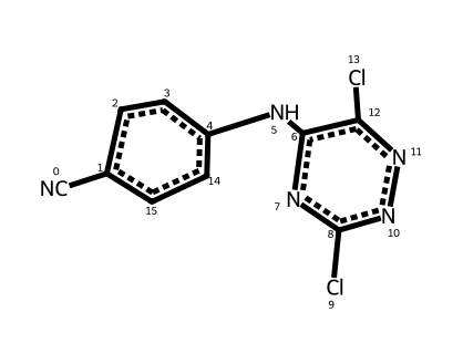 N#Cc1ccc(Nc2nc(Cl)nnc2Cl)cc1